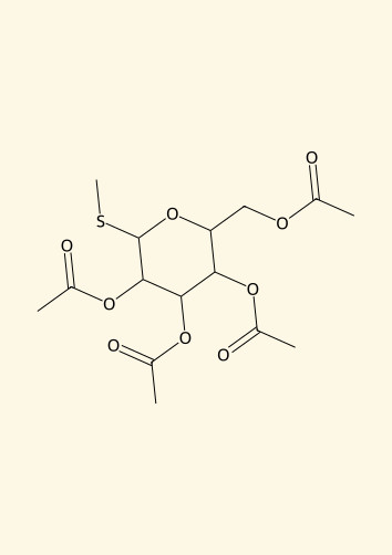 CSC1OC(COC(C)=O)C(OC(C)=O)C(OC(C)=O)C1OC(C)=O